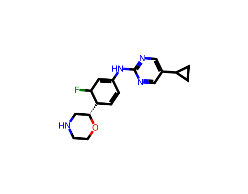 FC1C=C(Nc2ncc(C3CC3)cn2)C=CC1[C@H]1CNCCO1